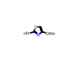 CC[CH]c1nc(OC)cs1